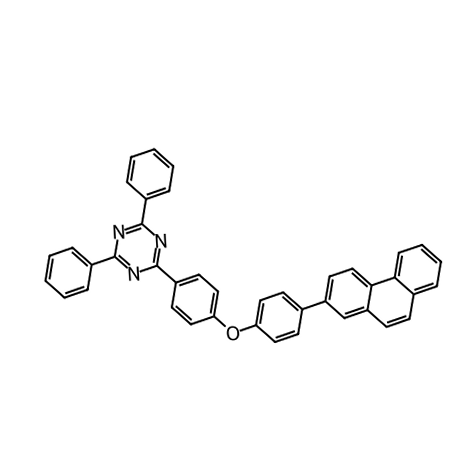 c1ccc(-c2nc(-c3ccccc3)nc(-c3ccc(Oc4ccc(-c5ccc6c(ccc7ccccc76)c5)cc4)cc3)n2)cc1